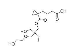 CCC(CO)(COCCO)COC(=O)C1(CCCC(=O)O)CC1